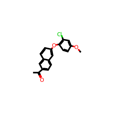 COc1ccc(Oc2ccc3cc(C(C)=O)ccc3c2)c(Cl)c1